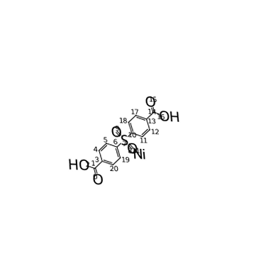 O=C(O)c1ccc(S(=O)(=O)c2ccc(C(=O)O)cc2)cc1.[Ni]